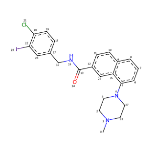 CN1CCN(c2cccc3ccc(C(=O)NCc4ccc(Cl)c(I)c4)cc23)CC1